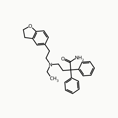 CCN(CCc1ccc2c(c1)CCO2)CCC(C(N)=O)(c1ccccc1)c1ccccc1